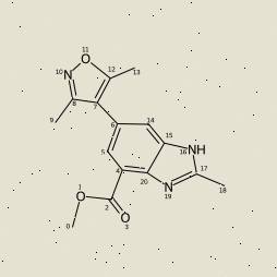 COC(=O)c1cc(-c2c(C)noc2C)cc2[nH]c(C)nc12